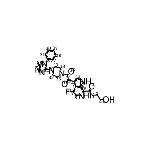 O=C(NCCO)c1ncc(F)c2c(C(=O)C(=O)N3CCN(c4nnnn4-c4ccccc4)CC3)c[nH]c12